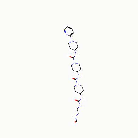 O=CNCCNC(=O)NC1CCN(C(=O)NC2CCN(C(=O)NC3CCN(c4ccccn4)CC3)CC2)CC1